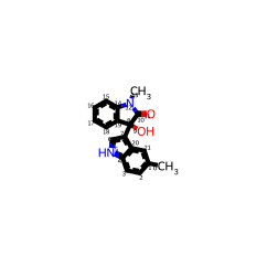 Cc1ccc2[nH]cc(C3(O)C(=O)N(C)c4ccccc43)c2c1